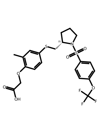 Cc1cc(SC[C@@H]2CCCN2S(=O)(=O)c2ccc(OC(F)(F)F)cc2)ccc1OCC(=O)O